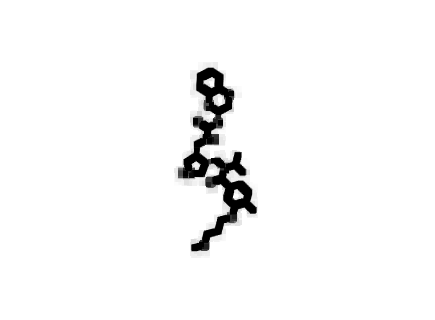 COCCCOc1cc(C(=O)N(C[C@@H]2CNC[C@H]2CNC(=O)O[C@H]2COc3ccccc3O2)C(C)C)ccc1C